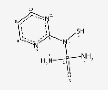 NP(N)(=O)N(S)c1ncccn1